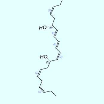 CC/C=C\C/C=C\C[C@H](O)\C=C/C=C/C=C/[C@H](O)C/C=C\CCC